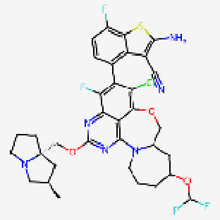 C[C@H]1CN2CCC[C@@]2(COc2nc3c4c(c(Cl)c(-c5ccc(F)c6sc(N)c(C#N)c56)c(F)c4n2)OCC2CC(OC(F)F)CCCN32)C1